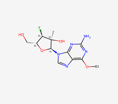 CCOc1nc(N)nc2c1ncn2[C@H]1O[C@H](CO)[C@@H](F)[C@@]1(C)O